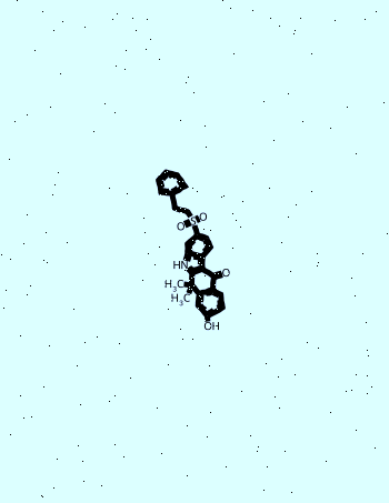 CC1(C)c2cc(O)ccc2C(=O)c2c1[nH]c1cc(S(=O)(=O)CCc3ccccc3)ccc21